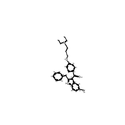 CCN(CC)CCCOc1ccc(C(=O)c2c(Cc3ccccc3)oc3ccc(Br)cc23)cc1